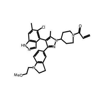 C=CC(=O)N1CCC(n2nc(-c3ccc4c(c3)CCN4CCOC)c(-c3c(Cl)c(C)cc4[nH]ncc34)c2C)CC1